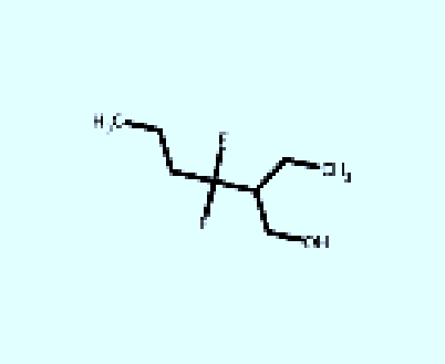 CCCC(F)(F)C(CC)CO